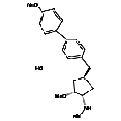 CCCCN[C@H]1C[C@H](Cc2ccc(-c3ccc(OC)cc3)cc2)C[C@H]1OC.Cl